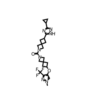 Cn1cc(OC2CC3(C2)CN(C(=O)N2CC4(CC(c5nc(C6CC6)n[nH]5)C4)C2)C3)c(C(F)(F)F)n1